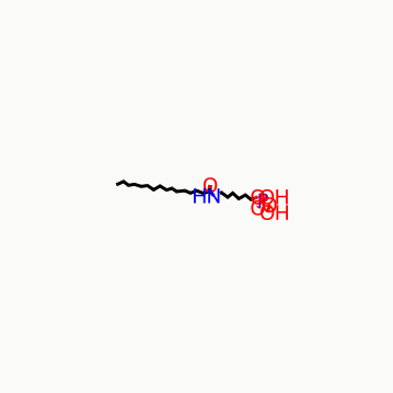 CCCCCCCCCCCCCCCC(=O)NCCCCCCOP(=O)(O)OO